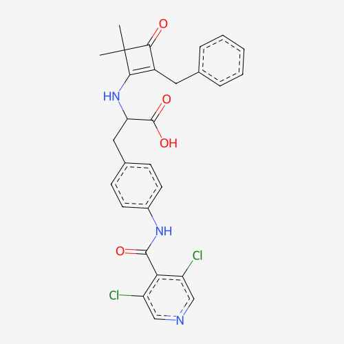 CC1(C)C(=O)C(Cc2ccccc2)=C1NC(Cc1ccc(NC(=O)c2c(Cl)cncc2Cl)cc1)C(=O)O